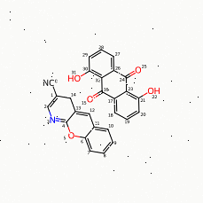 N#CC1=CN=C2Oc3ccccc3C=C2C1.O=C1c2cccc(O)c2C(=O)c2cccc(O)c21